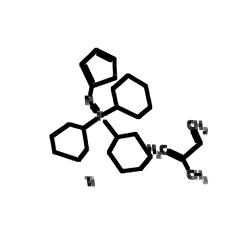 C1=CCC(N=P(C2CCCCC2)(C2CCCCC2)C2CCCCC2)=C1.C=CC(=C)C.[Ti]